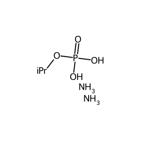 CC(C)OP(=O)(O)O.N.N